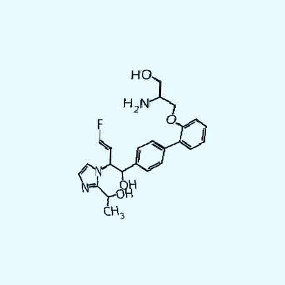 CC(O)c1nccn1C(C=CF)C(O)c1ccc(-c2ccccc2OCC(N)CO)cc1